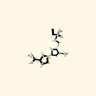 C=CP(=O)(O)OC[C@H]1O[C@@H](n2cnc(C(N)=O)n2)C[C@@H]1O